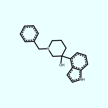 OC1(c2cccc3[nH]ccc23)CCCN(Cc2ccccc2)C1